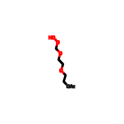 CC(=O)OCCOCCOCOO